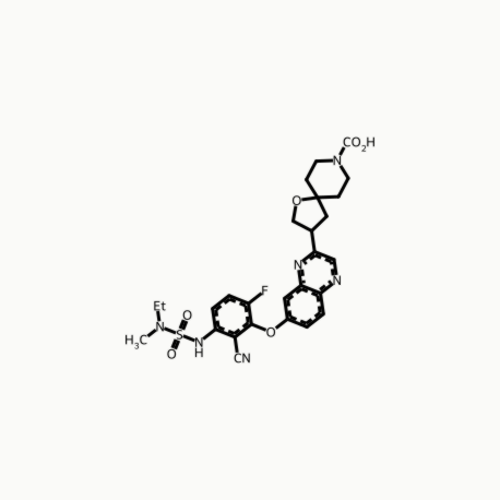 CCN(C)S(=O)(=O)Nc1ccc(F)c(Oc2ccc3ncc(C4COC5(CCN(C(=O)O)CC5)C4)nc3c2)c1C#N